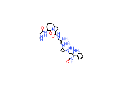 CN[C@@H](C)C(=O)NC1CCCCC2CCC(C(=O)NC/C(N)=C/N(N)C3CCC3N(N)/C=C(\N)C(NC=O)c3ccccc3)N2C1=O